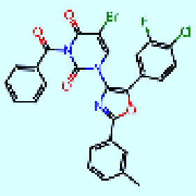 Cc1cccc(-c2nc(-n3cc(Br)c(=O)n(C(=O)c4ccccc4)c3=O)c(-c3ccc(Cl)c(F)c3)o2)c1